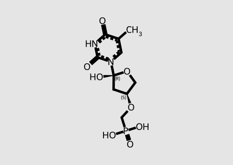 Cc1cn([C@@]2(O)C[C@H](OCP(=O)(O)O)CO2)c(=O)[nH]c1=O